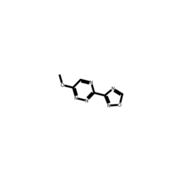 COc1cnc(-c2ncon2)nn1